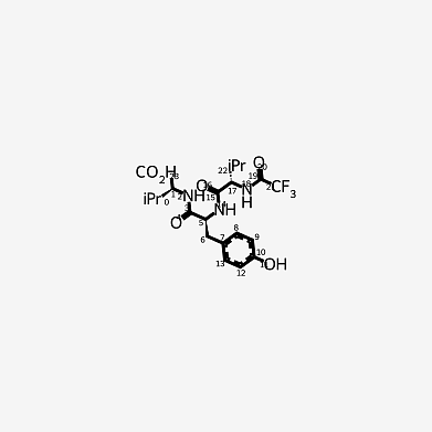 CC(C)[C@H](NC(=O)[C@H](Cc1ccc(O)cc1)NC(=O)[C@@H](NC(=O)C(F)(F)F)C(C)C)C(=O)O